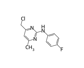 Cc1cc(CCl)nc(Nc2ccc(F)cc2)n1